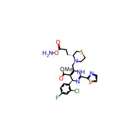 COC(=O)C1=C(CN2CCSC[C@H]2CCC(=O)ON)NC(c2nccs2)=N[C@H]1c1ccc(F)cc1Cl